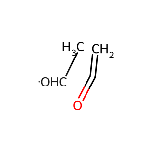 C=C=O.C[C]=O